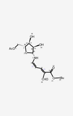 CC(=O)OC[C@H]1O[C@@H](N/C=C\C=C(/C=O)C(=O)OC(C)(C)C)[C@H](O)[C@@H]1O